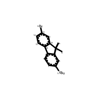 CC(C)(C)c1ccc2c(c1)C(C)(C)c1cc(Br)ccc1-2